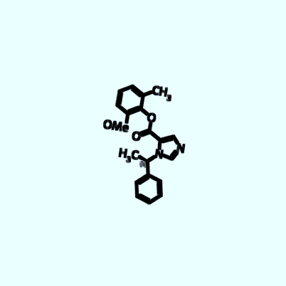 COc1cccc(C)c1OC(=O)c1cncn1[C@H](C)c1ccccc1